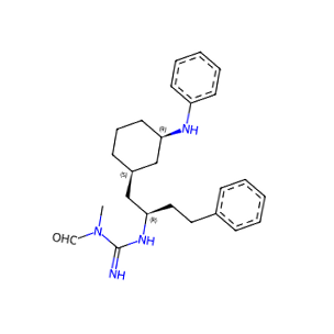 CN(C=O)C(=N)N[C@H](CCc1ccccc1)C[C@H]1CCC[C@@H](Nc2ccccc2)C1